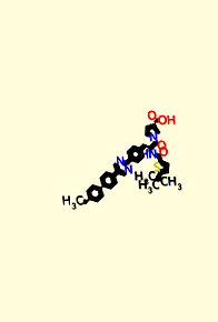 CC[C@H]1CC[C@H](C2CC=C(c3cnc(-c4ccc(C[C@H](NC(=O)c5ccc(C(C)(C)C)s5)C(=O)N5CC[C@H](C(=O)O)C5)cc4)nc3)CC2)CC1